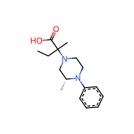 CCC(C)(C(=O)O)N1CCN(c2ccccc2)[C@H](C)C1